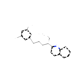 CC(=O)NC[C@H](CCCc1cc(C(C)(C)C)cc(C(C)(C)C)c1)c1ccc2ccccc2n1